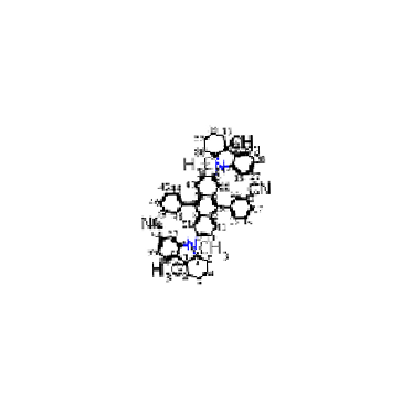 CC12CCCCC1(C)N(c1ccc3c(-c4cccc(C#N)c4)c4cc(N5c6ccccc6C6(C)CCCCC56C)ccc4c(-c4cccc(C#N)c4)c3c1)c1ccccc12